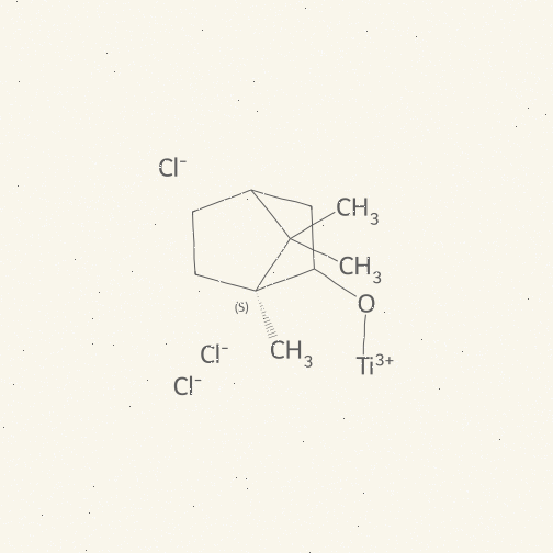 CC1(C)C2CC[C@]1(C)C([O][Ti+3])C2.[Cl-].[Cl-].[Cl-]